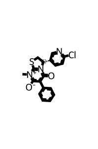 C[n+]1c([O-])c(-c2ccccc2)c(=O)n2c1SC[C@@H]2c1ccc(Cl)nc1